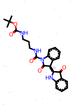 CC(C)(C)OC(=O)NCCCNC(=O)N1C(=O)/C(=C2\Nc3ccccc3C2=O)c2ccccc21